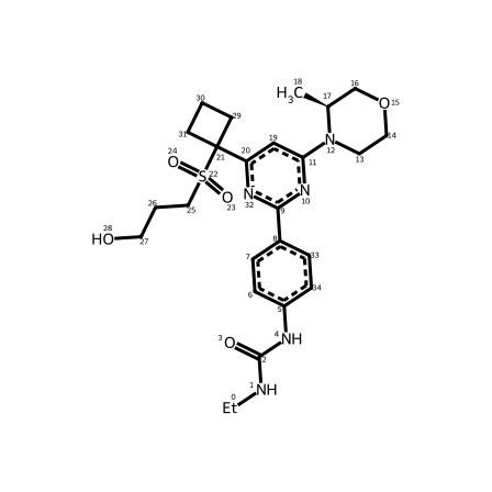 CCNC(=O)Nc1ccc(-c2nc(N3CCOC[C@@H]3C)cc(C3(S(=O)(=O)CCCO)CCC3)n2)cc1